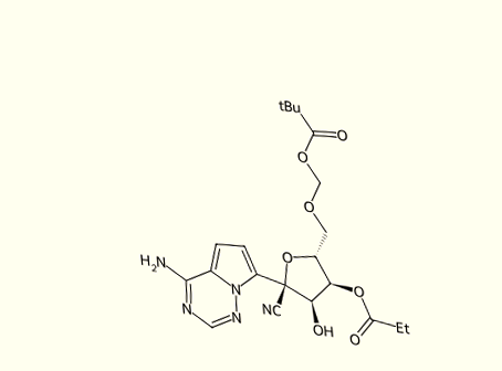 CCC(=O)O[C@H]1[C@@H](O)[C@](C#N)(c2ccc3c(N)ncnn23)O[C@@H]1COCOC(=O)C(C)(C)C